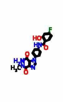 CNC(=O)c1ncn(-c2ccc(NC(=O)c3ccc(F)cc3O)cc2)c1C(N)=O